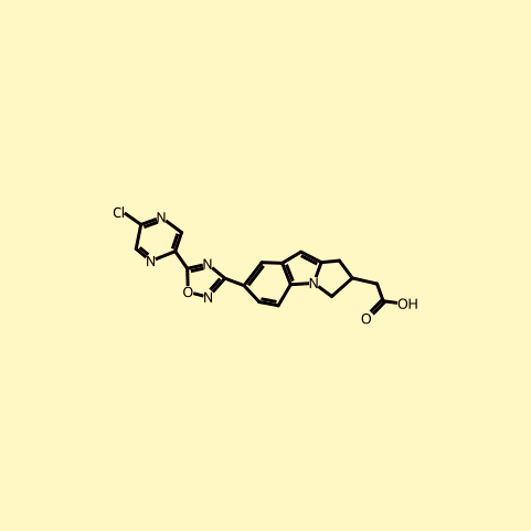 O=C(O)CC1Cc2cc3cc(-c4noc(-c5cnc(Cl)cn5)n4)ccc3n2C1